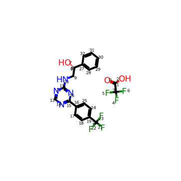 O=C(O)C(F)(F)F.O[C@@H](CNc1ncnc(-c2ccc(C(F)(F)F)cc2)n1)c1ccccc1